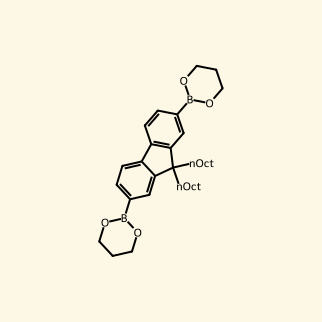 CCCCCCCCC1(CCCCCCCC)c2cc(B3OCCCO3)ccc2-c2ccc(B3OCCCO3)cc21